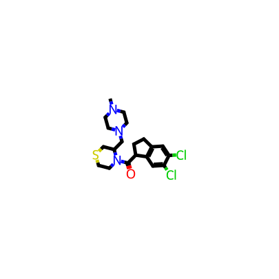 CN1CCN(CC2CSCCN2C(=O)C2CCc3cc(Cl)c(Cl)cc32)CC1